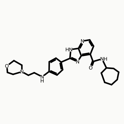 O=C(NC1CCCCCC1)c1ccnc2[nH]c(-c3ccc(NCCN4CCOCC4)cc3)nc12